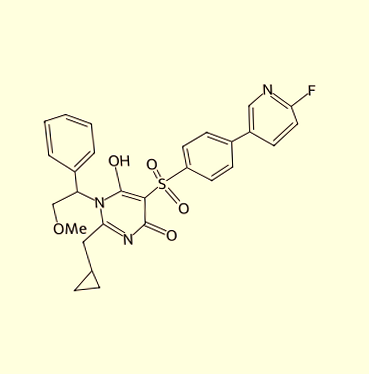 COCC(c1ccccc1)n1c(CC2CC2)nc(=O)c(S(=O)(=O)c2ccc(-c3ccc(F)nc3)cc2)c1O